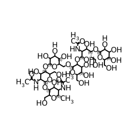 CC(=O)NC1C(O)[C@H](O[C@@H]2OC(CO[C@H]3OC(CO)[C@@H](O)C(O)C3O[C@H](O)C(NC(C)=O)C(O)[C@@H](CCO)O[C@@H]3OC(CO)[C@H](O)C(O)C3O)[C@@H](O)C(O)C2O)C(CO)O[C@H]1O[C@@H]1C(CO)O[C@@H](C)C(NC(C)=O)C1O